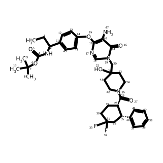 CCC(NC(=O)OC(C)(C)C)c1ccc(Oc2ncn(CC3(O)CCN(C(=O)[C@@H]4CCC(F)(F)C[C@H]4c4ccccc4)CC3)c(=O)c2N)cc1